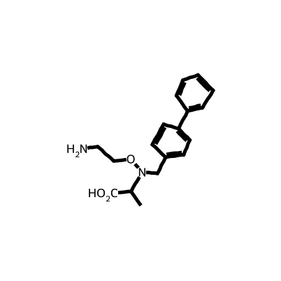 CC(C(=O)O)N(Cc1ccc(-c2ccccc2)cc1)OCCN